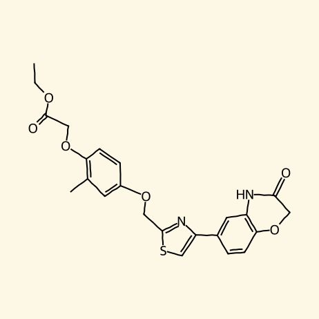 CCOC(=O)COc1ccc(OCc2nc(-c3ccc4c(c3)NC(=O)CO4)cs2)cc1C